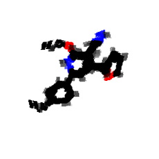 Bc1ccc(-c2cc(-c3ccco3)c(C#N)c(OC)n2)cc1